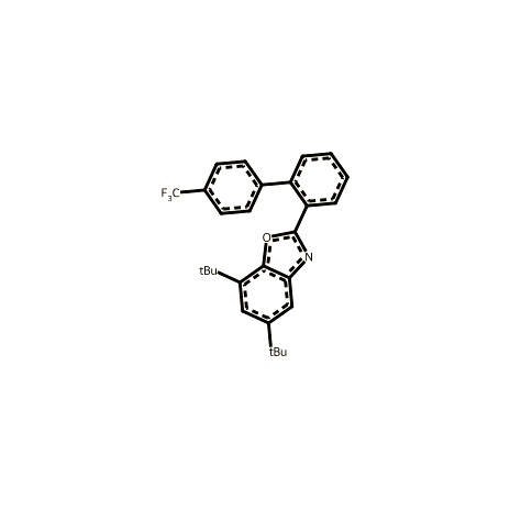 CC(C)(C)c1cc(C(C)(C)C)c2oc(-c3ccccc3-c3ccc(C(F)(F)F)cc3)nc2c1